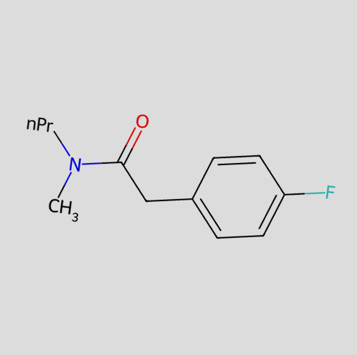 CCCN(C)C(=O)Cc1ccc(F)cc1